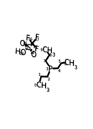 CCCP(CCC)CCC.O=S(=O)(O)C(F)(F)F